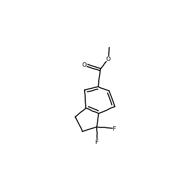 COC(=O)c1ccc2c(c1)CCC2(F)F